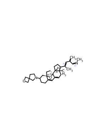 C=C(/C=N\C)/C=C(\C)C1CC[C@@H]2C1(C)CC=C1C=C3CCC(N4CCC5(COC5)C4)C[C@]34CC[C@@]12O4